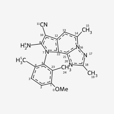 COc1ccc(C)c(-n2c(N)c(C#N)c3cc(C)n4nc(C)nc4c32)c1C